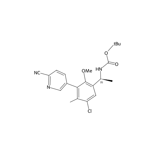 COc1c([C@H](C)NC(=O)OC(C)(C)C)cc(Cl)c(C)c1-c1ccc(C#N)nc1